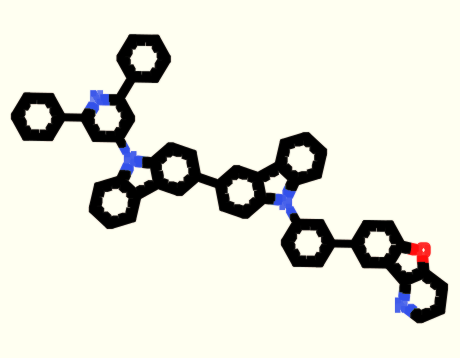 c1ccc(-c2cc(-n3c4ccccc4c4cc(-c5ccc6c(c5)c5ccccc5n6-c5cccc(-c6ccc7oc8cccnc8c7c6)c5)ccc43)cc(-c3ccccc3)n2)cc1